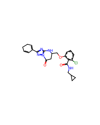 O=C(NCC1CC1)c1c(Cl)cccc1OCC1CC(=O)n2nc(C3=CCCC=C3)nc2N1